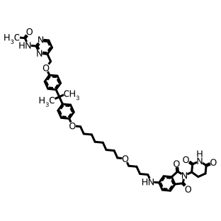 CC(=O)Nc1nccc(COc2ccc(C(C)(C)c3ccc(OCCCCCCCCOCCCCNc4ccc5c(c4)C(=O)N(C4CCC(=O)NC4=O)C5=O)cc3)cc2)n1